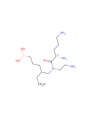 NCCC[C@H](N)C(=O)N(CCN)CC(CCCB(O)O)CC(=O)O